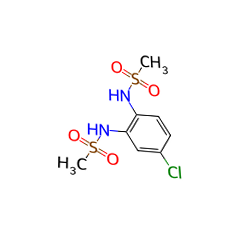 CS(=O)(=O)Nc1ccc(Cl)cc1NS(C)(=O)=O